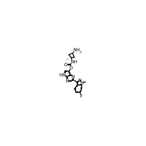 Cn1nc(-c2cnc3[nH]cc(OC(=O)N[C@]4(C)C[C@H](N)C4)c3n2)c2ccc(F)cc21